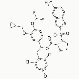 Cc1ccc2sc(S(=O)(=O)N3CCSC3C(=O)OC(Cc3c(Cl)c[n+]([O-])cc3Cl)c3ccc(OC(F)F)c(OCC4CC4)c3)cc2c1